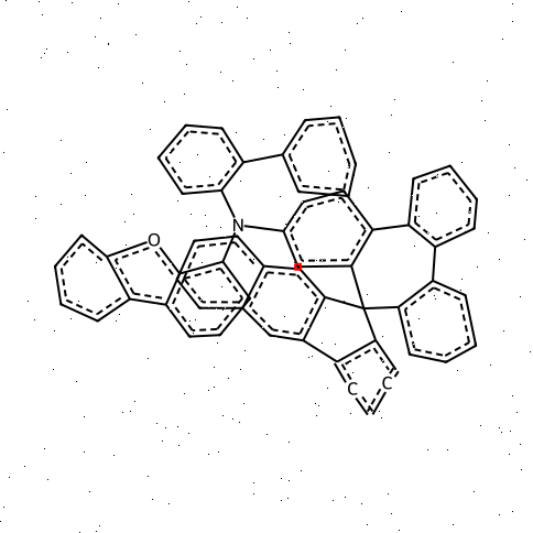 c1ccc(-c2ccccc2N(c2ccc3c(c2)C2(c4ccccc4-c4ccccc4-3)c3ccccc3-c3cc4ccccc4cc32)c2cccc3c2oc2ccccc23)cc1